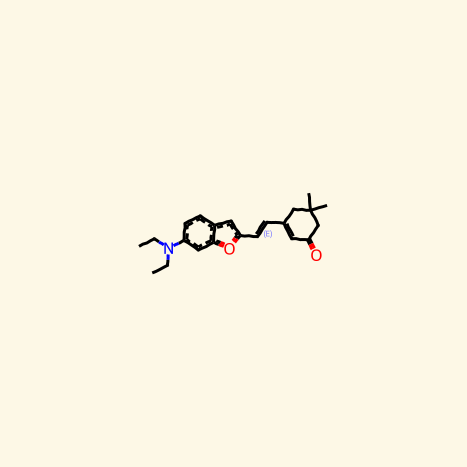 CCN(CC)c1ccc2cc(/C=C/C3=CC(=O)CC(C)(C)C3)oc2c1